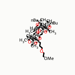 CCCC[Si](C)(C)O[Si](C)(C)O[Si](C)(C[Si](C)(O[Si](C)(C)C)O[Si](C)(CCCOCCOC)O[Si](C)(C)O[Si](C)(C)C)O[Si](C)(C)O[Si](C)(C)CCCC